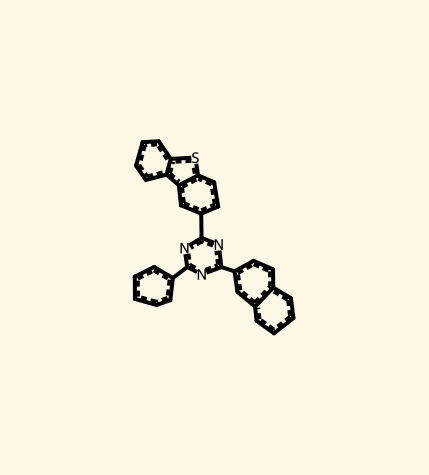 c1ccc(-c2nc(-c3ccc4ccccc4c3)nc(-c3ccc4sc5ccccc5c4c3)n2)cc1